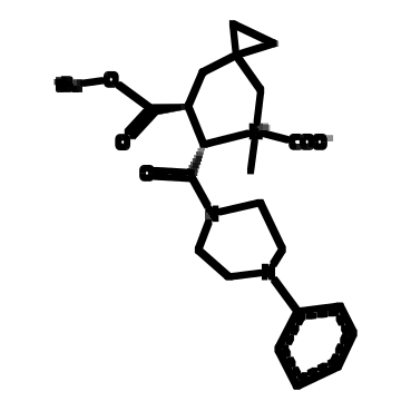 CC(C)(C)OC(=O)[C@H]1CC2(CC2)C[N+](C)(C(=O)[O-])[C@@H]1C(=O)N1CCN(c2ccccc2)CC1